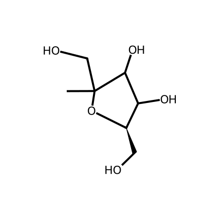 CC1(CO)O[C@H](CO)C(O)C1O